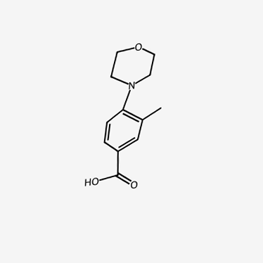 Cc1cc(C(=O)O)ccc1N1CCOCC1